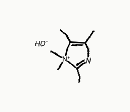 CC1=NC(C)=C(C)[N+]1(C)C.[OH-]